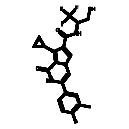 Cc1ccc(-c2cn3cc(C(=O)NC(CO)C(F)(F)F)c(C4CC4)c3c(=O)[nH]2)cc1C